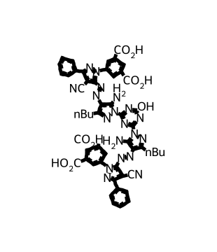 CCCCc1nn(-c2nc(O)nc(-n3nc(CCCC)c(N=Nc4c(C#N)c(-c5ccccc5)nn4-c4cc(C(=O)O)cc(C(=O)O)c4)c3N)n2)c(N)c1N=Nc1c(C#N)c(-c2ccccc2)nn1-c1cc(C(=O)O)cc(C(=O)O)c1